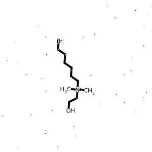 C[N+](C)(CCO)CCCCCCBr